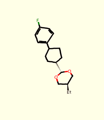 CC[C@H]1CO[C@H](C2CCC(c3ccc(F)cc3)CC2)OC1